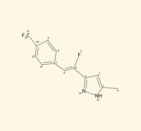 Cc1cc(/C(F)=C/c2ccc(C(F)(F)F)cc2)n[nH]1